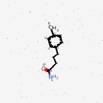 Cc1ccc(CCCC(N)=O)cc1